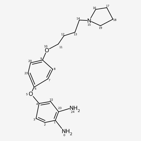 Nc1ccc(Oc2ccc(OCCCCN3CCCC3)cc2)cc1N